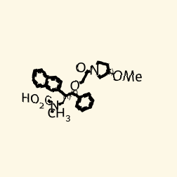 CO[C@H]1CCN(C(=O)CO[C@H](c2ccccc2)[C@@H](CN(C)C(=O)O)c2ccc3ccccc3c2)C1